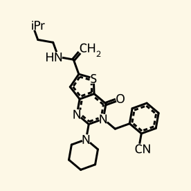 C=C(NCCC(C)C)c1cc2nc(N3CCCCC3)n(Cc3ccccc3C#N)c(=O)c2s1